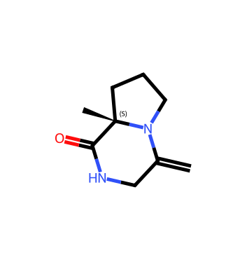 C=C1CNC(=O)[C@]2(C)CCCN12